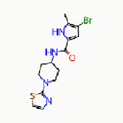 Cc1[nH]c(C(=O)NC2CCN(c3nccs3)CC2)cc1Br